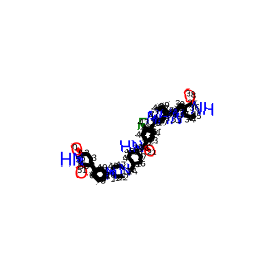 O=C1CCC(c2cccc(N3CCN(CC4CCC(NC(=O)c5ccc(-c6cc(-c7cc8c([nH]7)CCNC8=O)ccn6)c(F)c5)CC4)CC3)c2)C(=O)N1